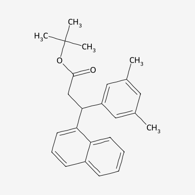 Cc1cc(C)cc(C(CC(=O)OC(C)(C)C)c2cccc3ccccc23)c1